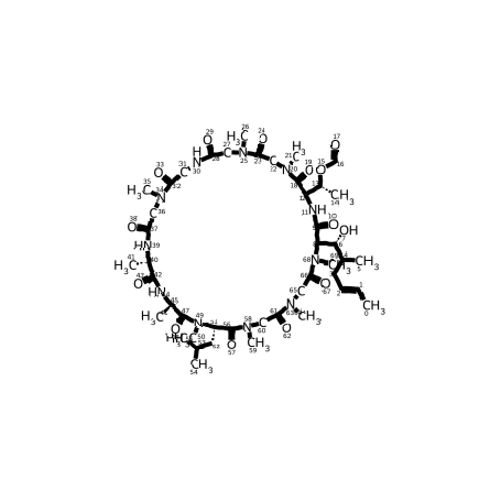 C/C=C/CC(C)[C@@H](O)C1C(=O)NC([C@@H](C)OC=O)C(=O)N(C)CC(=O)N(C)CC(=O)NCC(=O)N(C)CC(=O)N[C@@H](C)C(=O)N[C@H](C)C(=O)N(C)[C@@H](CC(C)C)C(=O)N(C)CC(=O)N(C)CC(=O)N1C